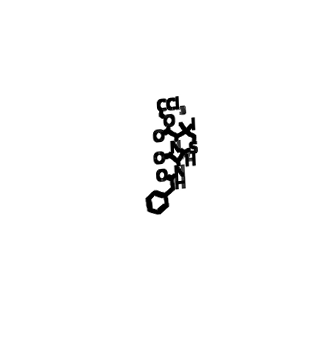 CC1(I)CS[C@H]2C(NC(=O)Cc3ccccc3)C(=O)N2C1C(=O)OCC(Cl)(Cl)Cl